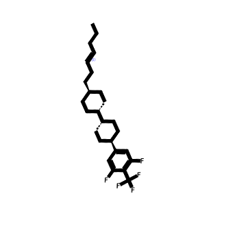 CCC/C=C/CC[C@H]1CC[C@H]([C@H]2CC[C@H](c3cc(F)c(C(F)(F)F)c(F)c3)CC2)CC1